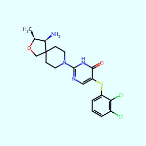 C[C@@H]1OCC2(CCN(c3ncc(Sc4cccc(Cl)c4Cl)c(=O)[nH]3)CC2)[C@@H]1N